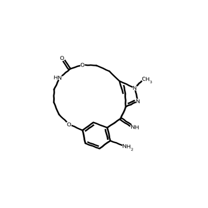 Cn1nc2cc1CCOC(=O)NCCCOc1ccc(N)c(c1)C2=N